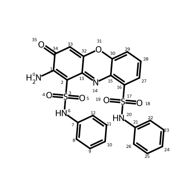 Nc1c(S(=O)(=O)Nc2ccccc2)c2nc3c(S(=O)(=O)Nc4ccccc4)cccc3oc-2cc1=O